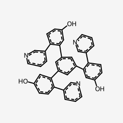 Oc1ccc(-c2cccnc2)c(-c2cc(-c3cc(O)ccc3-c3cccnc3)cc(-c3cc(O)ccc3-c3cccnc3)c2)c1